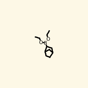 CCOB(OCC)C1CC2CCC1C2